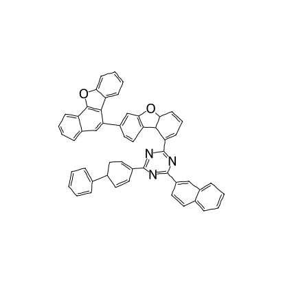 C1=CC2Oc3cc(-c4cc5ccccc5c5oc6ccccc6c45)ccc3C2C(c2nc(C3=CCC(c4ccccc4)C=C3)nc(-c3ccc4ccccc4c3)n2)=C1